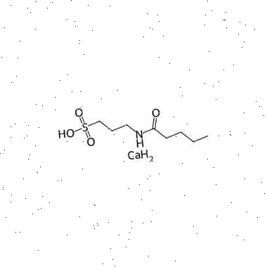 CCCCC(=O)NCCCS(=O)(=O)O.[CaH2]